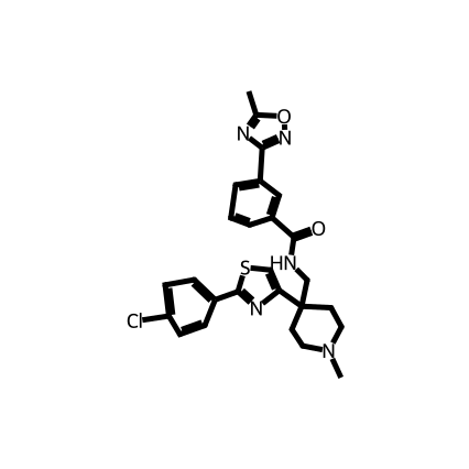 Cc1nc(-c2cccc(C(=O)NCC3(c4csc(-c5ccc(Cl)cc5)n4)CCN(C)CC3)c2)no1